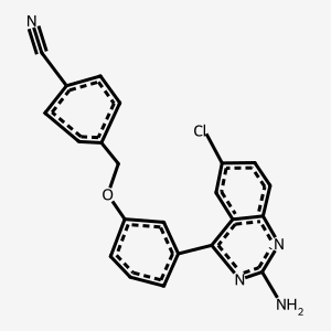 N#Cc1ccc(COc2cccc(-c3nc(N)nc4ccc(Cl)cc34)c2)cc1